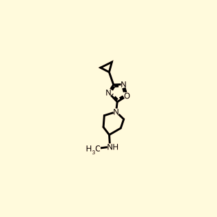 CNC1CCN(c2nc(C3CC3)no2)CC1